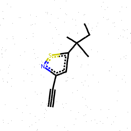 C#Cc1cc(C(C)(C)CC)sn1